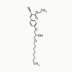 CCCCCCCCOCC(O)COc1ccc(C=C(C#N)C(=O)OCC)cc1